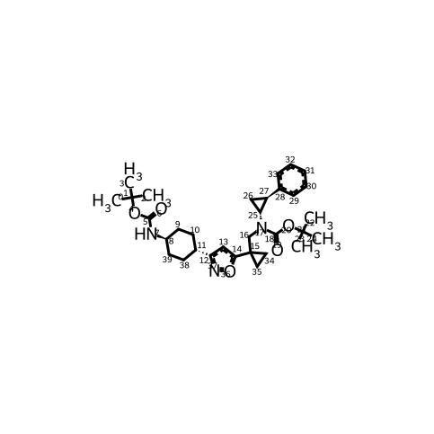 CC(C)(C)OC(=O)N[C@H]1CC[C@H](c2cc(C3(CN(C(=O)OC(C)(C)C)[C@@H]4C[C@H]4c4ccccc4)CC3)on2)CC1